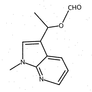 CC(OC=O)c1cn(C)c2ncccc12